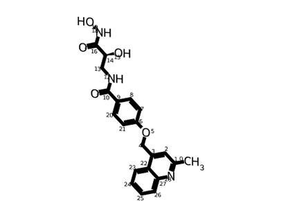 Cc1cc(COc2ccc(C(=O)NC[C@H](O)C(=O)NO)cc2)c2ccccc2n1